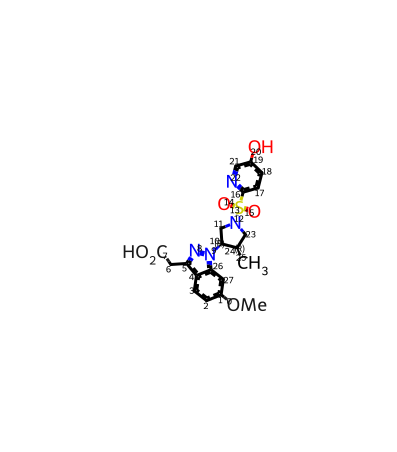 COc1ccc2c(CC(=O)O)nn([C@H]3CN(S(=O)(=O)c4ccc(O)cn4)C[C@H]3C)c2c1